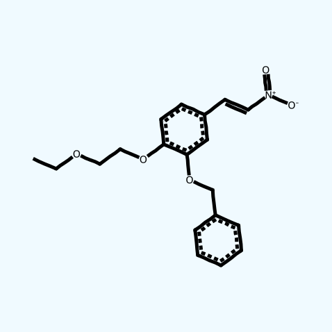 CCOCCOc1ccc(C=C[N+](=O)[O-])cc1OCc1ccccc1